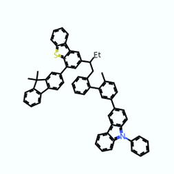 CCC(Cc1ccccc1-c1cc(-c2ccc3c(c2)c2ccccc2n3-c2ccccc2)ccc1C)c1cc(-c2ccc3c(c2)C(C)(C)c2ccccc2-3)c2sc3ccccc3c2c1